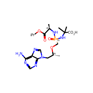 CC(C)OC(=O)[C@@H](C)N[P@@](=O)(CO[C@H](C)Cn1cnc2c(N)ncnc21)NC(C)(C)C(=O)O